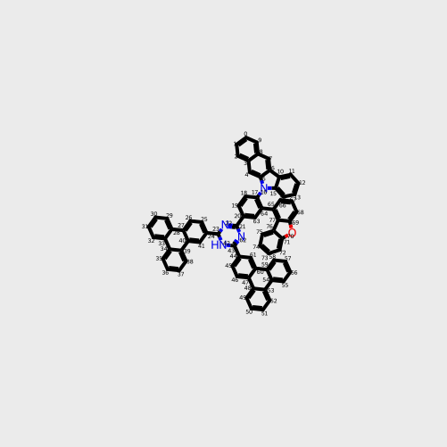 c1ccc2cc3c(cc2c1)c1ccccc1n3-c1ccc(C2=NC(c3ccc4c5ccccc5c5ccccc5c4c3)NC(c3ccc4c5ccccc5c5ccccc5c4c3)=N2)cc1-c1cccc2oc3ccccc3c12